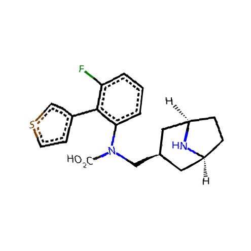 O=C(O)N(C[C@H]1C[C@H]2CC[C@@H](C1)N2)c1cccc(F)c1-c1ccsc1